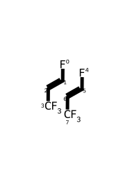 FC=CC(F)(F)F.FC=CC(F)(F)F